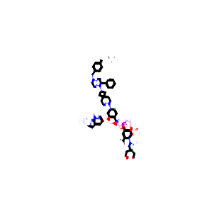 COc1ccc(CN2CCN(C3CC4(CCN(c5cc(Oc6cnc7[nH]ccc7c6)c(C(=O)NS(=O)(=O)c6cc([N+](=O)[O-])c(NCC7(F)CCOCC7)c7c6OCO7)cc5F)CC4)C3)C(c3ccccc3C(C)C)C2)cc1